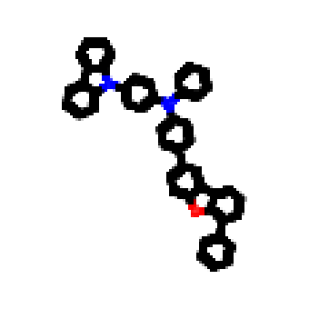 c1ccc(-c2cccc3c2oc2ccc(-c4ccc(N(c5ccccc5)c5ccc(-n6c7ccccc7c7ccccc76)cc5)cc4)cc23)cc1